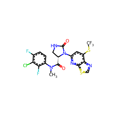 CN(C(=O)[C@@H]1CNC(=O)N1c1cc(SC(F)(F)F)c2ncsc2n1)c1ccc(F)c(Cl)c1F